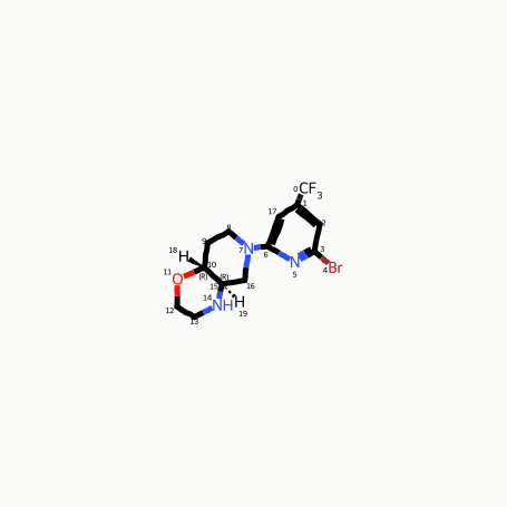 FC(F)(F)c1cc(Br)nc(N2CC[C@H]3OCCN[C@@H]3C2)c1